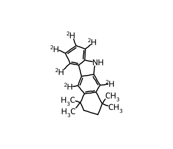 [2H]c1c([2H])c([2H])c2c([nH]c3c([2H])c4c(c([2H])c32)C(C)(C)CCC4(C)C)c1[2H]